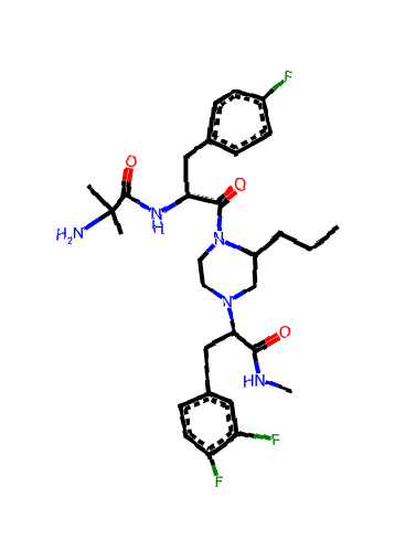 CCCC1CN(C(Cc2ccc(F)c(F)c2)C(=O)NC)CCN1C(=O)C(Cc1ccc(F)cc1)NC(=O)C(C)(C)N